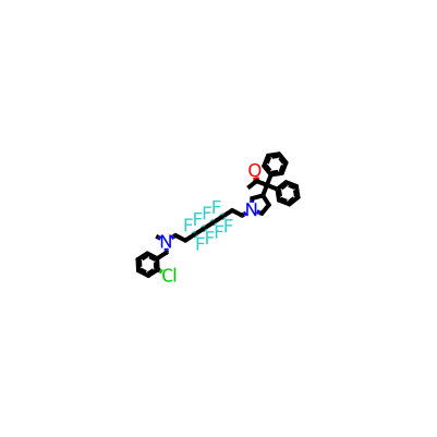 CC(=O)C(c1ccccc1)(c1ccccc1)C1CCN(CCC(F)(F)C(F)(F)C(F)(F)C(F)(F)CCN(C)Cc2ccccc2Cl)C1